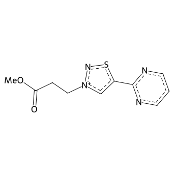 COC(=O)CC[n+]1cc(-c2ncccn2)sn1